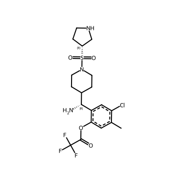 Cc1cc(OC(=O)C(F)(F)F)c([C@H](N)C2CCN(S(=O)(=O)[C@@H]3CCNC3)CC2)cc1Cl